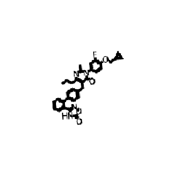 CCCc1nc(C)n(-c2ccc(OCC3CC3)c(F)c2)c(=O)c1Cc1ccc(-c2ccccc2-c2noc(=O)[nH]2)cc1